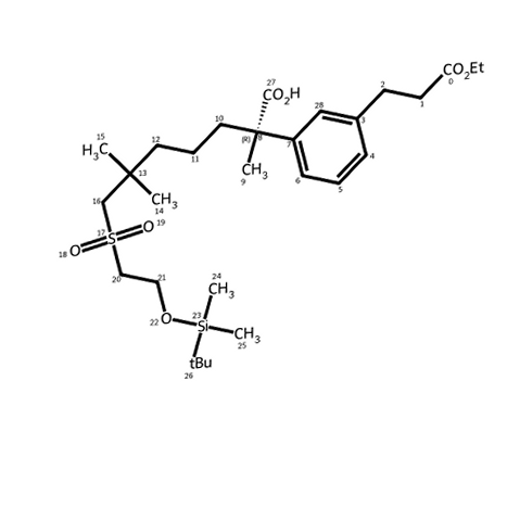 CCOC(=O)CCc1cccc([C@@](C)(CCCC(C)(C)CS(=O)(=O)CCO[Si](C)(C)C(C)(C)C)C(=O)O)c1